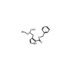 CC(C)(C)ON(C=O)Cc1cc[nH]c1C(=O)OCc1ccccc1